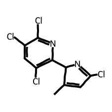 CC1=CC(Cl)=NC1c1nc(Cl)c(Cl)cc1Cl